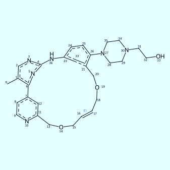 Cc1cnc2nc1-c1ccnc(c1)COC/C=C/COCc1cc(ccc1N1CCN(CCO)CC1)N2